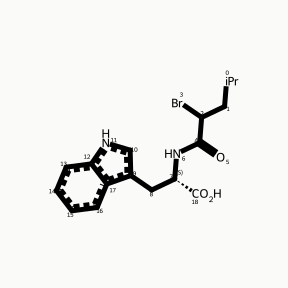 CC(C)CC(Br)C(=O)N[C@@H](Cc1c[nH]c2ccccc12)C(=O)O